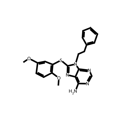 COc1ccc(OC)c(Sc2nc3c(N)ncnc3n2CCc2cc[c]cc2)c1